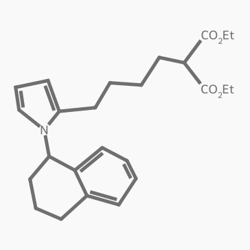 CCOC(=O)C(CCCCc1cccn1C1CCCc2ccccc21)C(=O)OCC